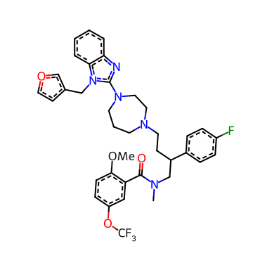 COc1ccc(OC(F)(F)F)cc1C(=O)N(C)CC(CCN1CCCN(c2nc3ccccc3n2Cc2ccoc2)CC1)c1ccc(F)cc1